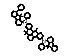 Cc1c2c3c(cccc3c3cc(N(c4ccccc4)c4cccc5c4C(C)(C)c4ccccc4-5)ccc13)C(C)(C)c1cc(N(c3ccccc3)c3cccc4c3C(C)(C)c3c(-c5ccccc5)cccc3-4)ccc1-2